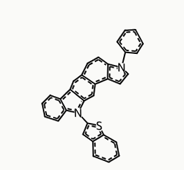 c1ccc(-n2ccc3c4cc5c(cc4ccc32)c2ccccc2n5-c2cc3ccccc3s2)cc1